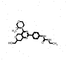 CCNC(=O)Nc1ccc(-c2nc3c(c(N4CCOC[C@@H]4C)n2)COC(CO)C3)cc1